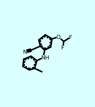 Cc1ccccc1Nc1cc(OC(F)F)ccc1C#N